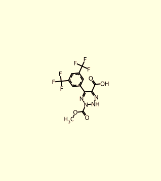 COC(=O)N1N=C(c2cc(C(F)(F)F)cc(C(F)(F)F)c2)C(C(=O)O)=NN1